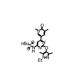 CCCCS(=O)(=O)Nc1cc(-c2cc(C)c(=O)n(C)c2)nc(Oc2c(C)nn(CC)c2C)n1